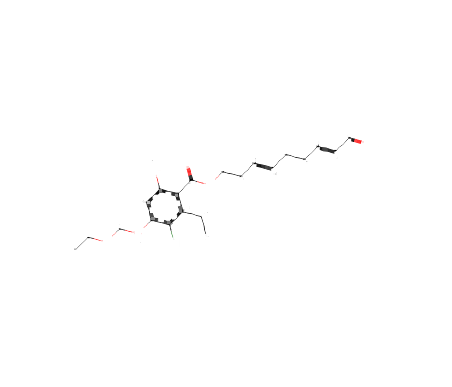 CCOCOc1cc(O)c(C(=O)OCC/C=C/CC/C=C/C=O)c(CC)c1Cl